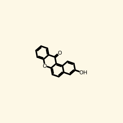 O=c1c2ccccc2oc2ccc3cc(O)ccc3c12